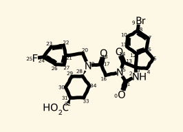 O=C1NC2(CCc3cc(Br)ccc32)C(=O)N1CC(=O)N(Cc1ccc(F)cc1)[C@H]1CC[C@H](C(=O)O)CC1